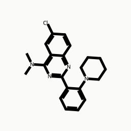 CN(C)c1nc(-c2ccccc2N2CCCCC2)nc2ccc(Cl)cc12